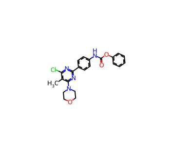 Cc1c(Cl)nc(-c2ccc(NC(=O)Oc3ccccc3)cc2)nc1N1CCOCC1